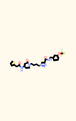 O=C(Cc1cccs1)Nc1ccn(CCCCn2cc(C(=O)NCc3cccc(OC(F)(F)F)c3)nn2)c(=O)c1